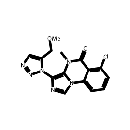 COCc1cnnn1-c1ncn2c3cccc(Cl)c3c(=O)n(C)c12